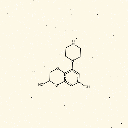 Oc1cc2c(c(N3CCNCC3)c1)OCC(O)O2